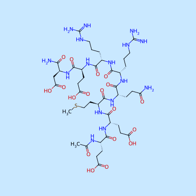 CSCC[C@H](NC(=O)[C@H](CCC(=O)O)NC(=O)[C@H](CCC(=O)O)NC(C)=O)C(=O)N[C@@H](CCC(N)=O)C(=O)N[C@@H](CCCNC(=N)N)C(=O)N[C@@H](CCCNC(=N)N)C(=O)N[C@@H](CCC(=O)O)C(=O)N[C@@H](CC(=O)O)C(N)=O